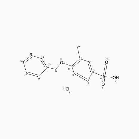 Cc1cc(S(=O)(=O)O)ccc1OCc1ccccc1.Cl